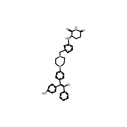 CCC(=C(c1ccc(O)cc1)c1ccc(N2CCN(Cc3cccc(NC4CCC(=O)NC4=O)c3)CC2)cc1)c1ccccc1